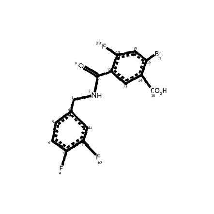 O=C(NCc1ccc(F)c(F)c1)c1cc(C(=O)O)c(Br)cc1F